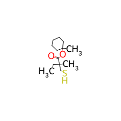 CCC(C)(CS)C(=O)OC1(C)CCCCC1